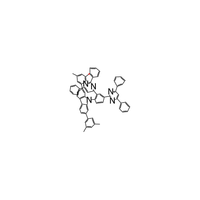 Cc1cc(C)cc(-c2ccc3c4ccc(-c5cc(C)cc(C)c5)cc4n(-c4ccc(-c5nc(-c6ccccc6)cc(-c6ccccc6)n5)cc4-c4cc(-c5ccccc5)nc(-c5ccccc5)n4)c3c2)c1